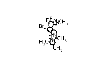 Cc1cc(C)nc([C@@H](C)N2CCc3c(cc(CBr)cc3-c3cn(C)nc3C(F)(F)F)C2=O)c1